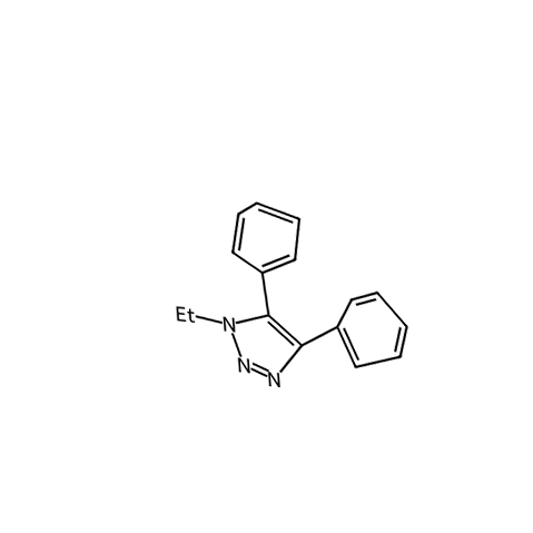 CCn1nnc(-c2ccccc2)c1-c1ccccc1